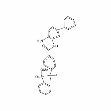 COP(=O)(c1ccccc1)C(C)(F)c1ccc(C(=O)Nc2cc(-c3ccccc3)ccc2N)cc1